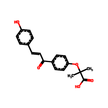 CC(C)(Oc1ccc(C(=O)/C=C/c2ccc(O)cc2)cc1)C(=O)O